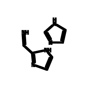 N=Cc1ncc[nH]1.c1c[nH]cn1